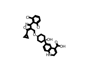 O=C(O)C1=CCNc2ccc([C@]3(O)CC[C@H](OCc4c(-c5c(Cl)cccc5Cl)noc4C4CC4)CC3)cc21